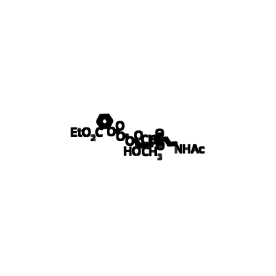 CCOC(=O)c1ccccc1OC(=O)OCOC(=O)[C@H](O)C(C)(C)COS(=O)(=O)CCCNC(C)=O